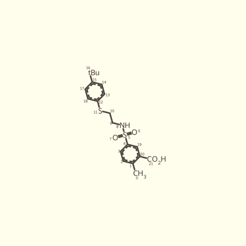 Cc1ccc(S(=O)(=O)NCCSc2ccc(C(C)(C)C)cc2)cc1C(=O)O